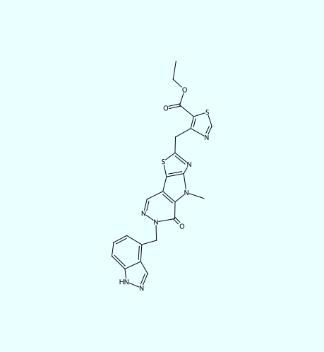 CCOC(=O)c1scnc1Cc1nc2c(s1)c1cnn(Cc3cccc4[nH]ncc34)c(=O)c1n2C